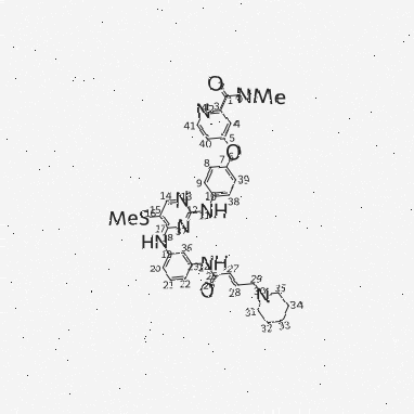 CNC(=O)c1cc(Oc2ccc(Nc3ncc(SC)c(Nc4cccc(NC(=O)/C=C/CN5CCCCC5)c4)n3)cc2)ccn1